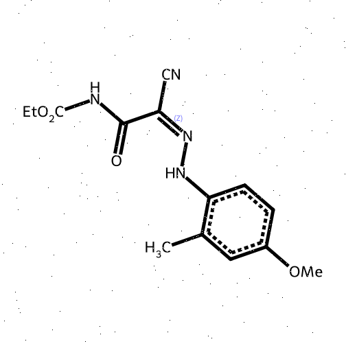 CCOC(=O)NC(=O)/C(C#N)=N\Nc1ccc(OC)cc1C